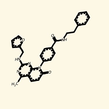 Cc1nc(NCc2ccco2)nc2c1ccc(=O)n2-c1ccc(C(=O)NCCc2ccccc2)cc1